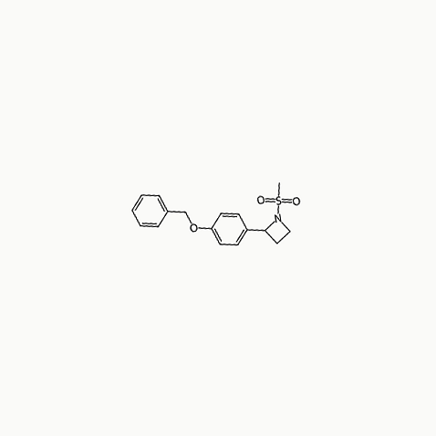 CS(=O)(=O)N1CCC1c1ccc(OCc2ccccc2)cc1